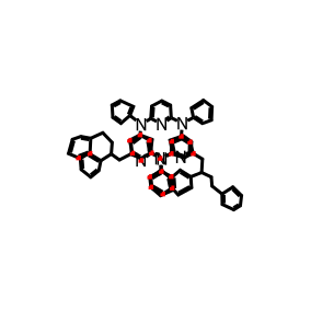 c1ccc(CCC(Cc2cc(N(c3ccccc3)c3cccc(N(c4ccccc4)c4cc(CC(CCc5ccccc5)c5ccccc5)nc(N(c5ccccc5)c5ccccc5)c4)n3)cc(N(c3ccccc3)c3ccccc3)n2)c2ccccc2)cc1